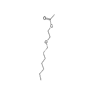 CCCCCCCOCCOC(C)=O